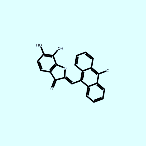 O=C1C(=Cc2c3ccccc3c(Cl)c3ccccc23)Oc2c1ccc(O)c2O